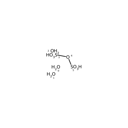 O.O.O.O=S(=O)(O)OS(=O)(=O)O